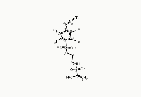 C=C(C)S(=O)(=O)NCCOS(=O)(=O)c1c(F)c(F)c(N=[N+]=[N-])c(F)c1F